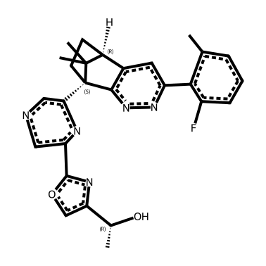 Cc1cccc(F)c1-c1cc2c(nn1)[C@@]1(c3cncc(-c4nc([C@@H](C)O)co4)n3)CC[C@@H]2C1(C)C